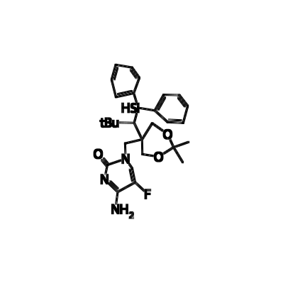 CC1(C)OCC(Cn2cc(F)c(N)nc2=O)(C([SiH](c2ccccc2)c2ccccc2)C(C)(C)C)CO1